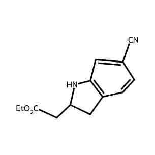 CCOC(=O)CC1Cc2ccc(C#N)cc2N1